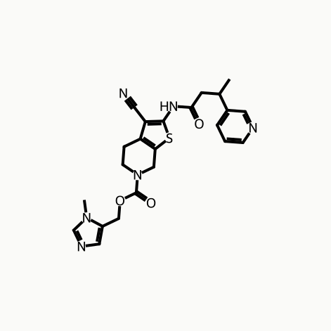 CC(CC(=O)Nc1sc2c(c1C#N)CCN(C(=O)OCc1cncn1C)C2)c1cccnc1